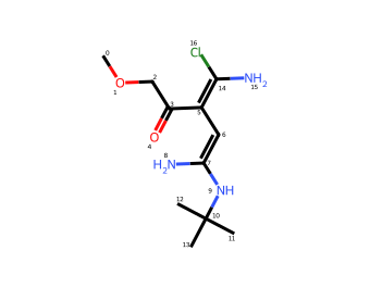 COCC(=O)C(/C=C(\N)NC(C)(C)C)=C(/N)Cl